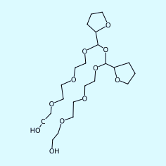 OCCOCCOCCOC(OC(OCCOCCOCCO)C1CCCO1)C1CCCO1